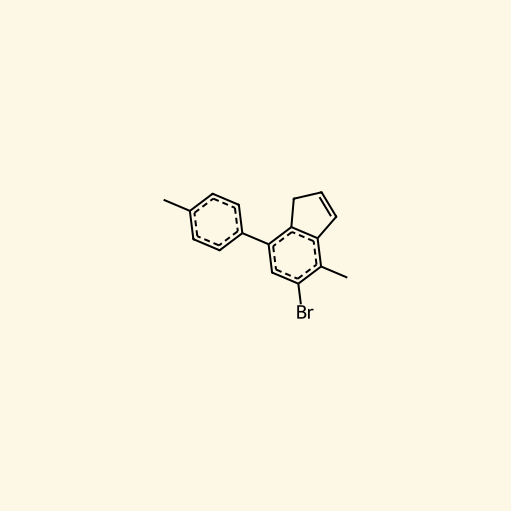 Cc1ccc(-c2cc(Br)c(C)c3c2CC=C3)cc1